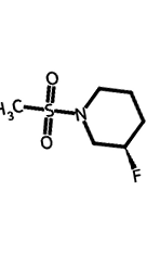 CS(=O)(=O)N1CCC[C@@H](F)C1